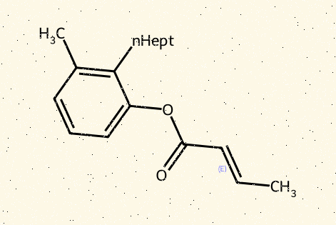 C/C=C/C(=O)Oc1cccc(C)c1CCCCCCC